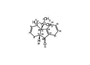 CS(C)(C)[C@]12CC=CC[C@H]1C(=O)C1=C2CC=CC1